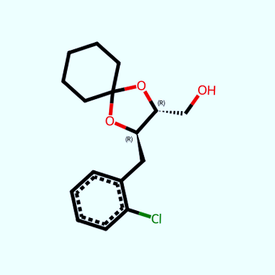 OC[C@H]1OC2(CCCCC2)O[C@@H]1Cc1ccccc1Cl